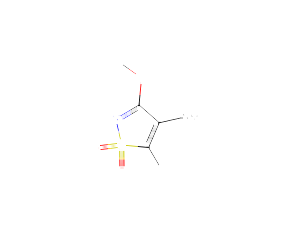 CCOC(=O)C1=C(NC)C(OCC)=NS1(=O)=O